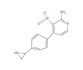 Nc1nccc(-c2ccc(C3CN3)cc2)c1[N+](=O)[O-]